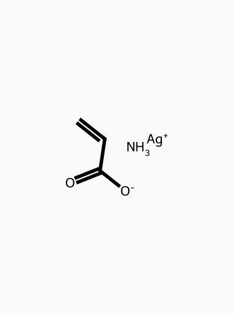 C=CC(=O)[O-].N.[Ag+]